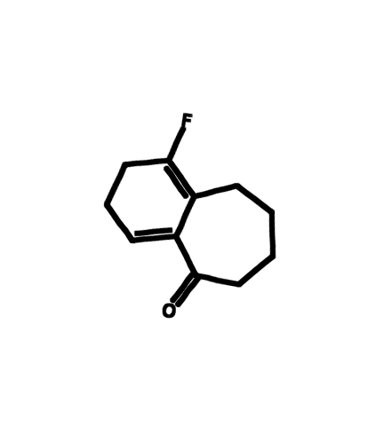 O=C1CCCCC2=C(F)CCC=C12